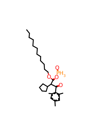 CCCCCCCCCCCCOC(=O)C(C(=O)c1c(C)cc(C)cc1C)C1CCCC1.O=[PH3]